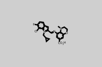 CN1CCOc2cc(C(=O)O)cc(/N=C/c3cc4ccc(F)c(Cl)c4n3CC3CC3)c21